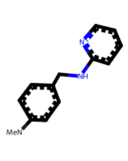 CNc1ccc(CNc2ccccn2)cc1